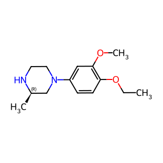 CCOc1ccc(N2CCN[C@H](C)C2)cc1OC